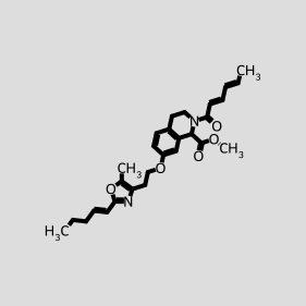 CC=CC=CC(=O)N1CCc2ccc(OCCc3nc(/C=C/CCC)oc3C)cc2C1C(=O)OC